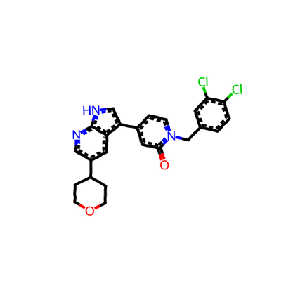 O=c1cc(-c2c[nH]c3ncc(C4CCOCC4)cc23)ccn1Cc1ccc(Cl)c(Cl)c1